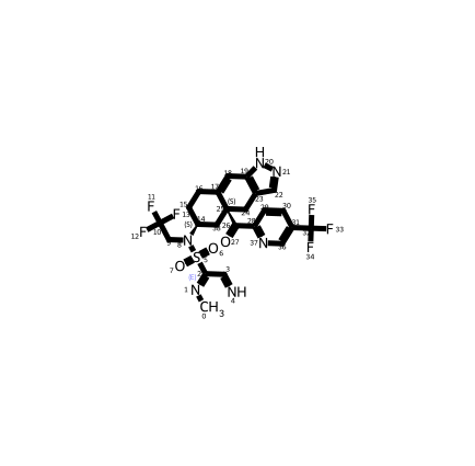 C/N=C(\C=N)S(=O)(=O)N(CC(F)(F)F)[C@H]1CCC2=Cc3[nH]ncc3C[C@]2(C(=O)c2ccc(C(F)(F)F)cn2)C1